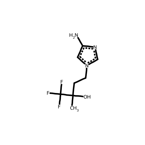 CC(O)(CCn1cnc(N)c1)C(F)(F)F